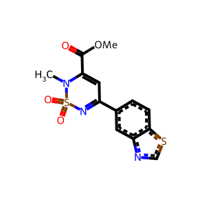 COC(=O)C1=CC(c2ccc3scnc3c2)=NS(=O)(=O)N1C